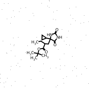 CCC(CC1(C2CC2)NC(=O)NC1=O)C(=O)OC(C)(C)C